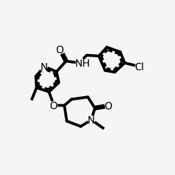 Cc1cnc(C(=O)NCc2ccc(Cl)cc2)cc1OC1CCC(=O)N(C)CC1